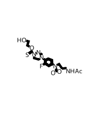 CC(=O)NCC1CN(c2ccc(N3C=NN(C(=S)OCCO)CC3)c(F)c2)C(=O)O1